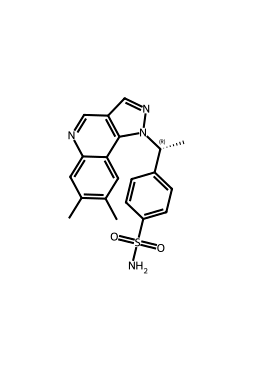 Cc1cc2ncc3cnn([C@H](C)c4ccc(S(N)(=O)=O)cc4)c3c2cc1C